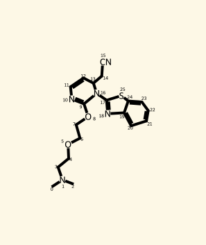 CN(C)CCOCCOC1=NC=CC(CC#N)N1c1nc2ccccc2s1